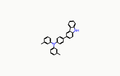 Cc1cccc(N(c2ccc(-c3ccc4[nH]c5ccccc5c4c3)cc2)c2cccc(C)c2)c1